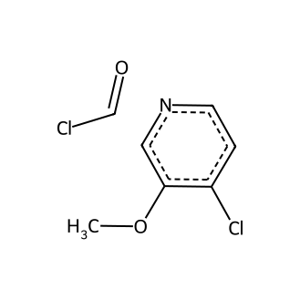 COc1cnccc1Cl.O=CCl